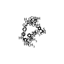 CNC(=O)c1nnc(Nc2ccc(N3CCN(C(=O)CCC(=O)N[C@H](C(=O)N4C[C@H](O)C[C@H]4C(=O)NCc4ccc(-c5scnc5C)cc4)C(C)(C)C)CC3)cn2)cc1Nc1cccc(-c2ncn(C)n2)c1OC